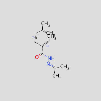 C=C(C)/C=C\C(=C/C)C(=O)NN=C(C)C